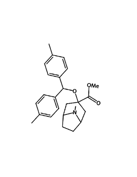 COC(=O)C1(OC(c2ccc(C)cc2)c2ccc(C)cc2)CC2CCC(C1)N2C